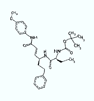 CC[C@H](NC(=O)OC(C)(C)C)C(=O)N[C@H](/C=C/C(=O)Nc1ccc(OC)cc1)CCc1ccccc1